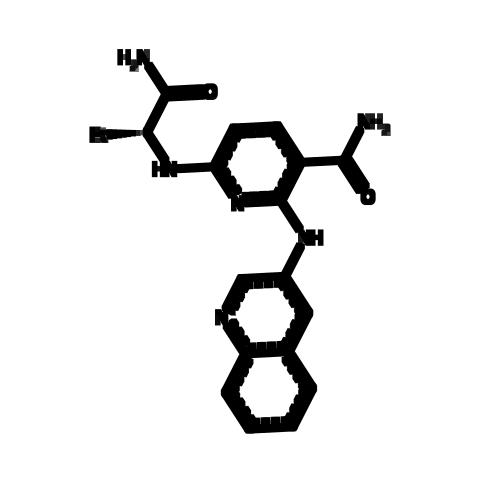 CC[C@@H](Nc1ccc(C(N)=O)c(Nc2cnc3ccccc3c2)n1)C(N)=O